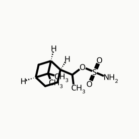 CC(OS(N)(=O)=O)[C@H]1CC[C@H]2C[C@@H]1C2(C)C